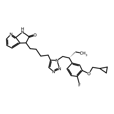 CC[C@@H](Cn1nncc1CCCCC1C(=O)Nc2ncccc21)c1ccc(F)c(OCC2CC2)c1